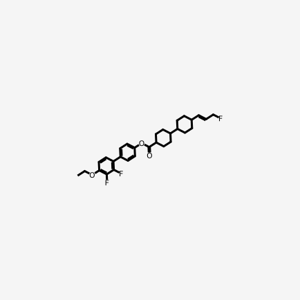 CCOc1ccc(-c2ccc(OC(=O)C3CCC(C4CCC(/C=C/CF)CC4)CC3)cc2)c(F)c1F